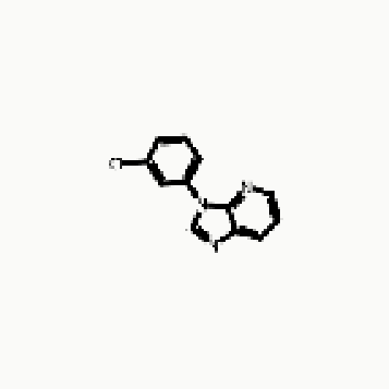 Clc1cccc(-n2[c]nc3cccnc32)c1